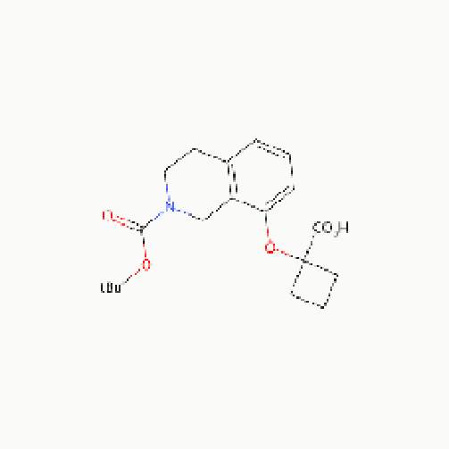 CC(C)(C)OC(=O)N1CCc2cccc(OC3(C(=O)O)CCC3)c2C1